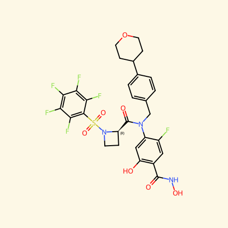 O=C(NO)c1cc(F)c(N(Cc2ccc(C3CCOCC3)cc2)C(=O)[C@H]2CCN2S(=O)(=O)c2c(F)c(F)c(F)c(F)c2F)cc1O